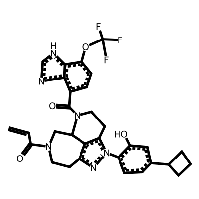 C=CC(=O)N1CCc2nn(-c3ccc(C4CCC4)cc3O)c3c2C(C1)N(C(=O)c1ccc(OC(F)(F)F)c2[nH]cnc12)CC3